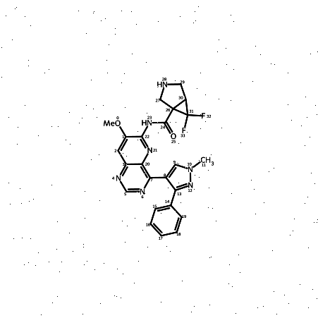 COc1cc2ncnc(-c3cn(C)nc3-c3ccccc3)c2nc1NC(=O)C12CNCC1C2(F)F